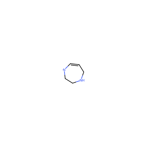 C1=C[N]CCNC1